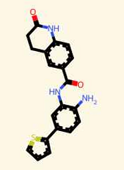 Nc1ccc(-c2cccs2)cc1NC(=O)c1ccc2c(c1)CCC(=O)N2